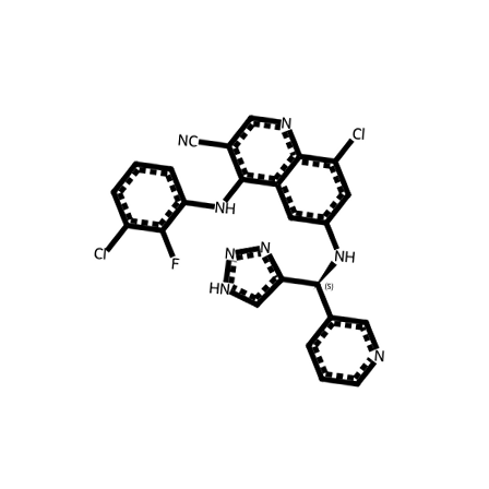 N#Cc1cnc2c(Cl)cc(N[C@@H](c3cccnc3)c3c[nH]nn3)cc2c1Nc1cccc(Cl)c1F